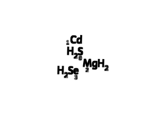 S.[Cd].[MgH2].[SeH2]